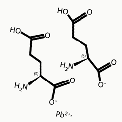 N[C@@H](CCC(=O)O)C(=O)[O-].N[C@@H](CCC(=O)O)C(=O)[O-].[Pb+2]